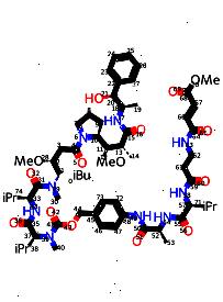 CC[C@H](C)[C@@H]([C@@H](CC(=O)N1CCC[C@H]1[C@H](OC)[C@@H](C)C(=O)N[C@H](C)[C@@H](O)c1ccccc1)OC)N(C)C(=O)[C@@H](NC(=O)[C@H](C(C)C)N(C)C(=O)OCc1ccc(NC(=O)[C@H](C)NC(=O)[C@@H](NC(=O)CCNC(=O)/C=C/C(=O)OC)C(C)C)cc1)C(C)C